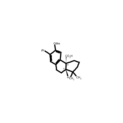 COc1cc2c(cc1C(C)C)CC[C@H]1C(C)(C)CCC[C@]21C(=O)O